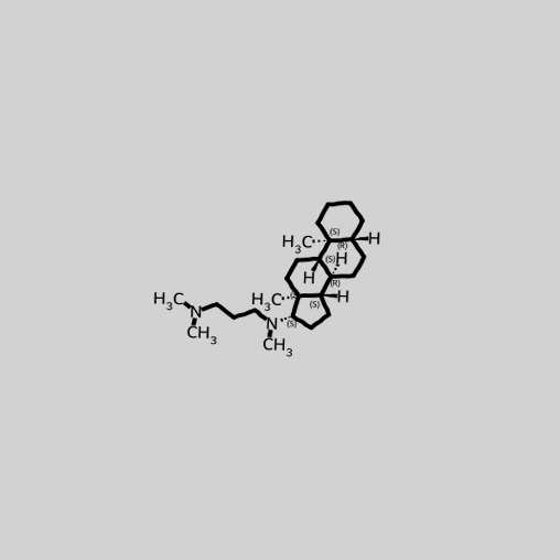 CN(C)CCCN(C)[C@H]1CC[C@H]2[C@@H]3CC[C@H]4CCCC[C@]4(C)[C@H]3CC[C@]12C